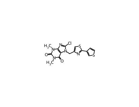 Cn1c(=O)c2c(nc(Cl)n2Cc2csc(-c3ccsc3)n2)n(C)c1=O